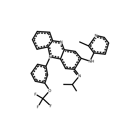 Cc1ncccc1Nc1cc2nc3ccccc3n(-c3cccc(OC(F)(F)F)c3)c-2c/c1=N\C(C)C